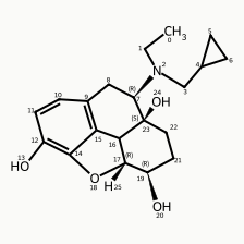 CCN(CC1CC1)[C@@H]1Cc2ccc(O)c3c2C2[C@@H](O3)[C@H](O)CC[C@]21O